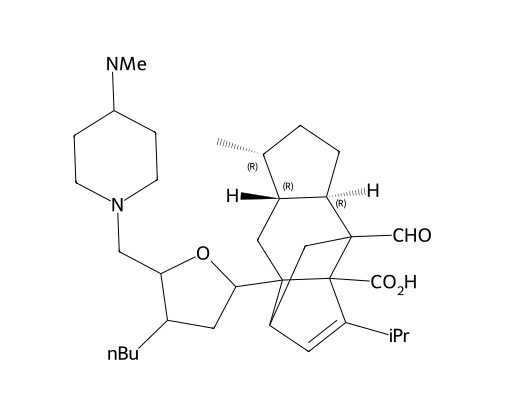 CCCCC1CC(C23C[C@@H]4[C@H](C)CC[C@H]4C4(C=O)CC2C=C(C(C)C)C34C(=O)O)OC1CN1CCC(NC)CC1